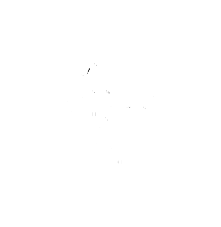 N#C[C@@H]1C[C@@H]2C[C@@H]2N1C(=O)[C@@H](N)C1CC2CCC(C1)N2C(=O)c1ccccn1.O=C(O)C(F)(F)F